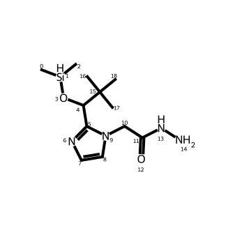 C[SiH](C)OC(c1nccn1CC(=O)NN)C(C)(C)C